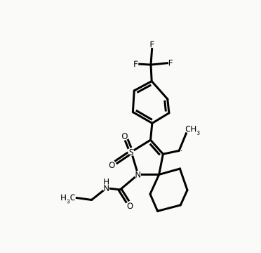 C[CH]C1=C(c2ccc(C(F)(F)F)cc2)S(=O)(=O)N(C(=O)NCC)C12CCCCC2